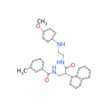 COc1ccc(NCCNC(=O)C(CNC(=O)c2cccc(C)c2)c2cccc3ccccc23)cc1